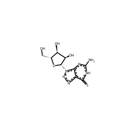 Nc1nc2c(nnn2[C@@H]2O[C@H](CO)[C@@H](O)[C@H]2O)c(=S)[nH]1